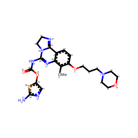 COc1c(OCCCN2CCOCC2)ccc2c1N=C(NC(=O)Oc1cnc(N)s1)N1CCN=C21